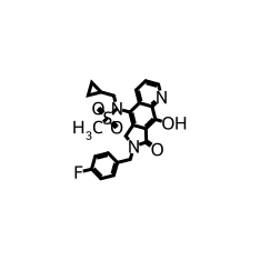 CS(=O)(=O)N(CC1CC1)c1c2c(c(O)c3ncccc13)C(=O)N(Cc1ccc(F)cc1)C2